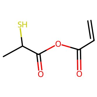 C=CC(=O)OC(=O)C(C)S